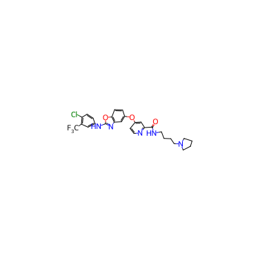 O=C(NCCCCN1CCCC1)c1cc(Oc2ccc3oc(Nc4ccc(Cl)c(C(F)(F)F)c4)nc3c2)ccn1